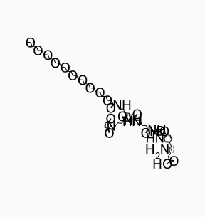 COCCOCCOCCOCCOCCOCCOCCOCCOCCOCC(=O)NCCCC[C@H](NC(=O)CCCN1C(=O)C=CC1=O)C(=O)NCCCC(=O)NCC(=O)Nc1cc(C[C@H](N)CCC(=O)O)ccc1O